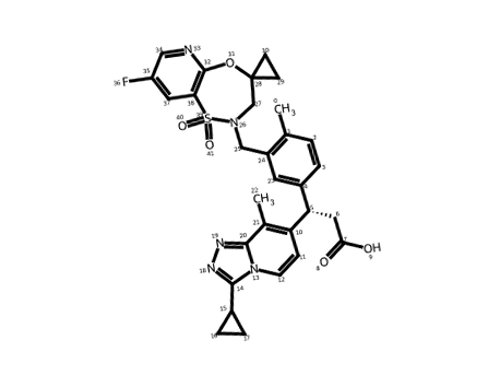 Cc1ccc([C@H](CC(=O)O)c2ccn3c(C4CC4)nnc3c2C)cc1CN1CC2(CC2)Oc2ncc(F)cc2S1(=O)=O